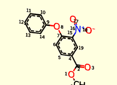 COC(=O)c1ccc(Oc2cc[c]cc2)c([N+](=O)[O-])c1